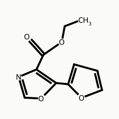 CCOC(=O)c1ncoc1-c1ccco1